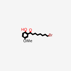 COc1ccc(O)c(C(=O)CCCCCCCBr)c1